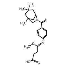 COC(CCC(=O)O)=Nc1ccc(C(=O)N2CC3(C)CC2CC(C)(C)C3)cc1